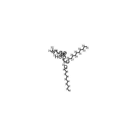 CCCCCCCCCCOC[C@H](COP(=O)(O)OCC[N+](C)(C)C)OCCCCCCCCCC